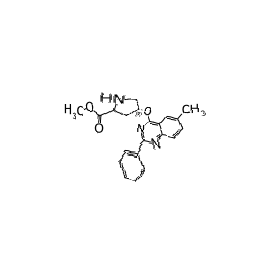 COC(=O)C1C[C@@H](Oc2nc(-c3ccccc3)nc3ccc(C)cc23)CN1